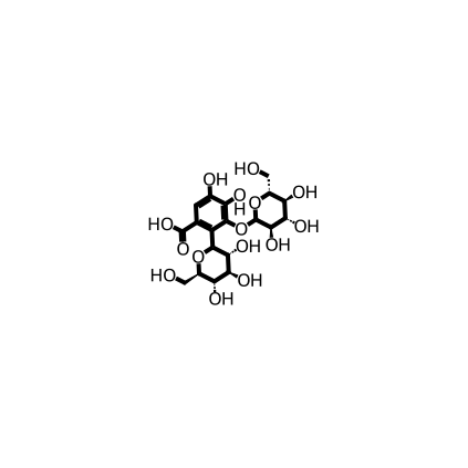 O=C(O)c1cc(O)c(O)c(OC2O[C@H](CO)[C@@H](O)[C@H](O)[C@H]2O)c1C1O[C@H](CO)[C@@H](O)[C@H](O)[C@H]1O